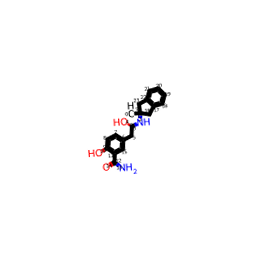 CC1(N[C@H](O)Cc2ccc(O)c(C(N)=O)c2)Cc2ccccc2C1